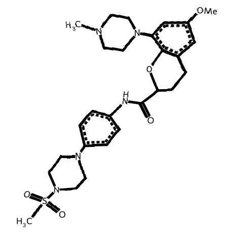 COc1cc2c(c(N3CCN(C)CC3)c1)OC(C(=O)Nc1ccc(N3CCN(S(C)(=O)=O)CC3)cc1)CC2